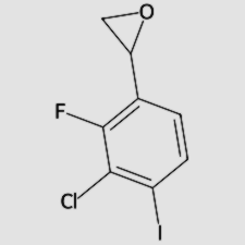 Fc1c(C2CO2)ccc(I)c1Cl